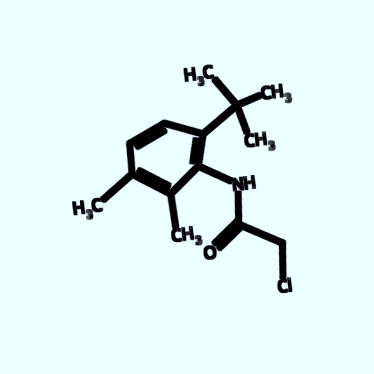 Cc1ccc(C(C)(C)C)c(NC(=O)CCl)c1C